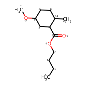 CCCCOC(=O)C1CC(OC)CCC1C